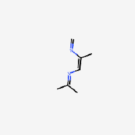 C=N/C(C)=C\N=C(C)C